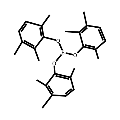 Cc1ccc(C)c([O][Bi]([O]c2c(C)ccc(C)c2C)[O]c2c(C)ccc(C)c2C)c1C